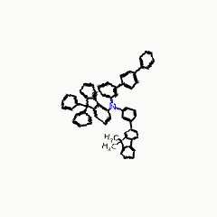 CC1(C)c2ccccc2-c2ccc(-c3cccc(N(c4cccc(-c5ccc(-c6ccccc6)cc5)c4)c4cccc5c4-c4ccccc4C5(c4ccccc4)c4ccccc4)c3)cc21